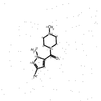 CC(=O)c1cc(C(=O)N2CCN(C)CC2)n(C)n1